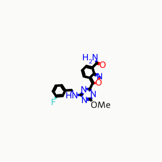 COc1nc(NCc2cccc(F)c2)nc(-c2onc3c(C(N)=O)cccc23)n1